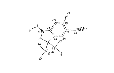 CCN1CC(C(C)(C)C)(C(C)(C)C)c2cc(C#N)c(F)cc21